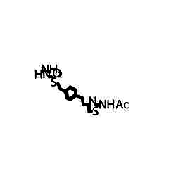 CC(=O)Nc1nc(CCc2ccc(CCSC(=O)NN)cc2)cs1